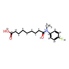 CN(C(=O)CCCCCCCC(=O)O)c1ccc(F)cc1